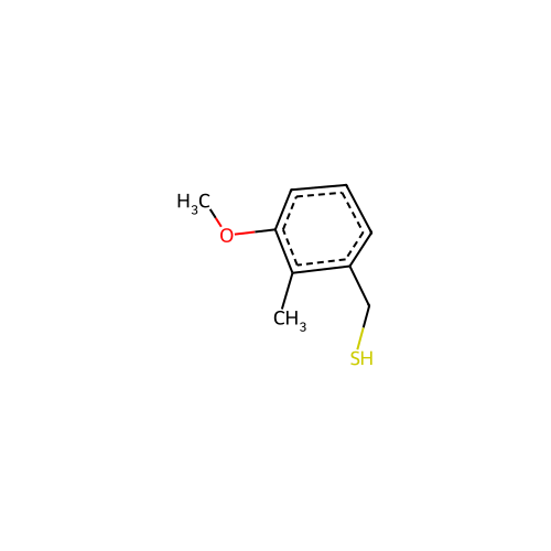 COc1cccc(CS)c1C